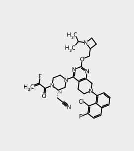 C=C(F)C(=O)N1CCN(c2nc(OCC3CCN3C(C)C)nc3c2CCN(c2cccc4ccc(F)c(Cl)c24)C3)C[C@@H]1CC#N